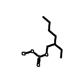 CCCCC(CC)COS(=O)OCl